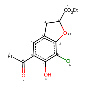 CCOC(=O)C1Cc2cc(C(=O)CC)c(O)c(Cl)c2O1